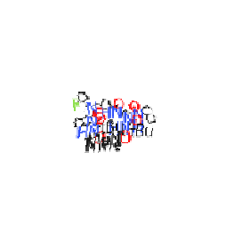 CN[C@@H](C)C(=O)NC(C(=O)N1Cc2ccccc2CC1C(=O)N(Cc1ccc(C(=O)N[C@H]2C[C@@H](C(=O)N[C@@H]3CCCc4ccccc43)N(C(=O)[C@@H](NC(=O)[C@H](C)NC)C(C)(C)C)C2)cc1)[C@H](C)c1ccccc1F)C(C)(C)C